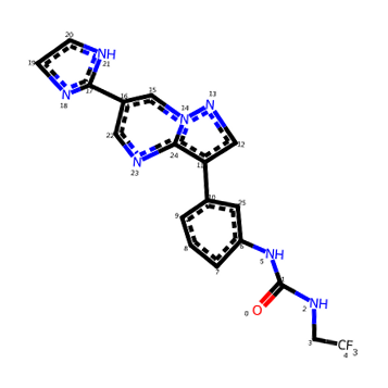 O=C(NCC(F)(F)F)Nc1cccc(-c2cnn3cc(-c4ncc[nH]4)cnc23)c1